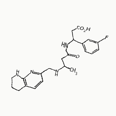 CC(CC(=O)NC(CC(=O)O)c1cccc(F)c1)NCc1ccc2c(n1)NCCC2